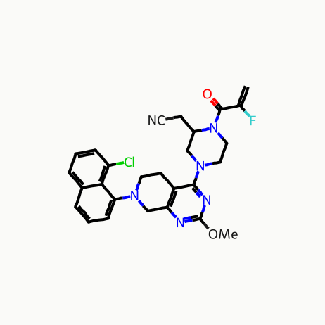 C=C(F)C(=O)N1CCN(c2nc(OC)nc3c2CCN(c2cccc4cccc(Cl)c24)C3)CC1CC#N